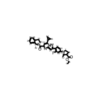 CCOC(=O)C1CCN(c2ccc(-c3cc4nc(C(=O)N5CCc6ccccc6[C@H]5C)cc(C5CC5)n4n3)c(F)c2)C1C